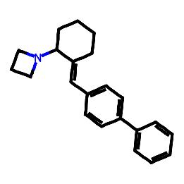 C(=C1CCCCC1N1CCC1)c1ccc(-c2ccccc2)cc1